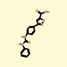 O=C(Nc1ccccc1)Nc1ccc(-c2cc(C(=O)O)on2)cc1